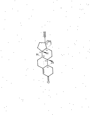 C#C[C@]1(O)CC[C@H]2[C@@H]3CCC4=CC(=O)CC[C@@H]4[C@@]3(C)CC[C@@]21CC